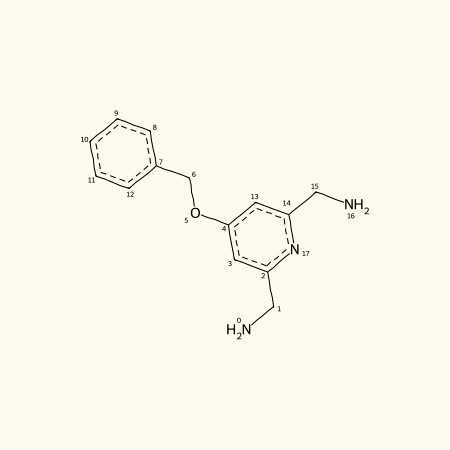 NCc1cc(OCc2ccccc2)cc(CN)n1